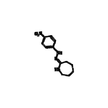 O=[N+]([O-])c1ccc(NN=C2CCCCCN2)cc1